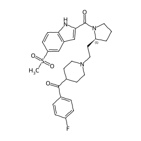 CS(=O)(=O)c1ccc2[nH]c(C(=O)N3CCC[C@H]3CCN3CCC(C(=O)c4ccc(F)cc4)CC3)cc2c1